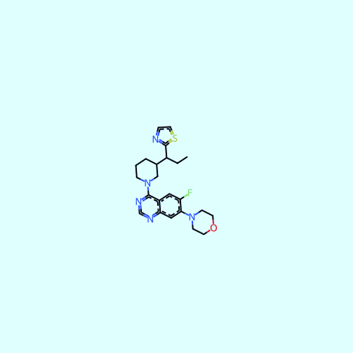 CCC(c1nccs1)C1CCCN(c2ncnc3cc(N4CCOCC4)c(F)cc23)C1